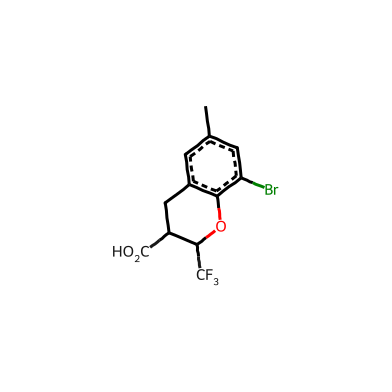 Cc1cc(Br)c2c(c1)CC(C(=O)O)C(C(F)(F)F)O2